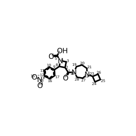 O=C(C1CN(C(=O)O)C1c1ccc([N+](=O)[O-])cc1)N1CCCN(C2CCC2)CC1